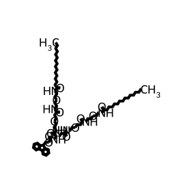 CCCCCCCCCCCCCCCC(=O)NCCOCCNC(=O)CCOCCNC(=O)CC[C@H](NC(=O)OCC1c2ccccc2-c2ccccc21)C(=O)NCCOCCC(=O)NCCOCCNC(=O)CCCCCCCCCCCCCCC